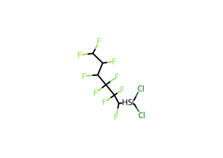 FC(F)C(F)C(F)C(F)(F)C(F)(F)C(F)[SiH](Cl)Cl